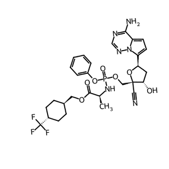 C[C@H](NP(=O)(OC[C@@]1(C#N)O[C@@H](c2ccc3c(N)ncnn23)C[C@@H]1O)Oc1ccccc1)C(=O)OC[C@H]1CC[C@H](C(F)(F)F)CC1